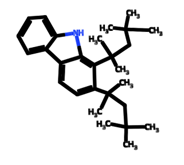 CC(C)(C)CC(C)(C)c1ccc2c([nH]c3ccccc32)c1C(C)(C)CC(C)(C)C